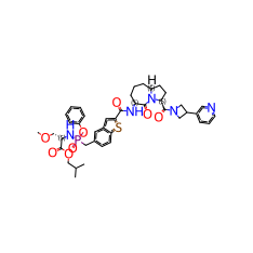 COC[C@H](NP(=O)(Cc1ccc2sc(C(=O)N[C@H]3CCC[C@H]4CC[C@@H](C(=O)N5CC(c6cccnc6)C5)N4C3=O)cc2c1)Oc1ccccc1)C(=O)OCC(C)C